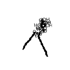 CC#CC#CC#CC#CC#CC#CC(=O)O[C@H](COC(=O)C#CC#CC#CC#CC#CC)COP(=O)(O)OC1C(O)[C@@H](O)C(OP(=O)(O)O)[C@@H](O)[C@H]1O